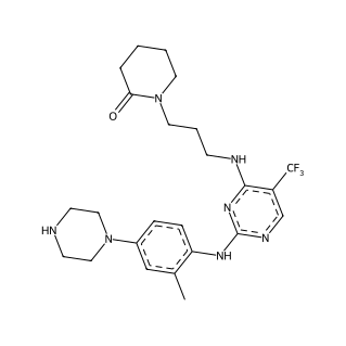 Cc1cc(N2CCNCC2)ccc1Nc1ncc(C(F)(F)F)c(NCCCN2CCCCC2=O)n1